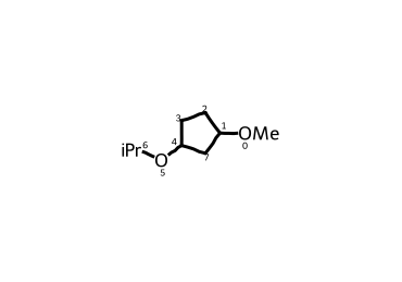 COC1CCC(OC(C)C)C1